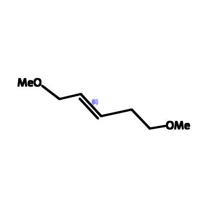 [CH2-][OH+]C/C=C/CC[OH+][CH2-]